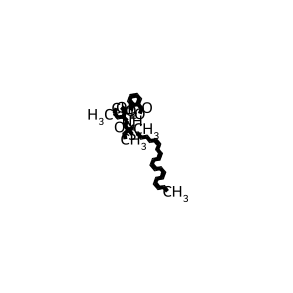 CC/C=C\C/C=C\C/C=C\C/C=C\C/C=C\CCCCSC(CC)(CC)C(=O)NC(CC(C)C)C(=O)Oc1ccccc1C(=O)O